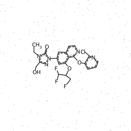 CCn1c(CO)nn(-c2cc(OC(CF)C(F)F)c3c(Oc4cccnc4Cl)nccc3c2)c1=O